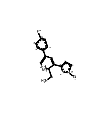 CCC(CN)/C(=C\C(=C/N)c1ccc(F)cc1)c1ccn(CC)n1